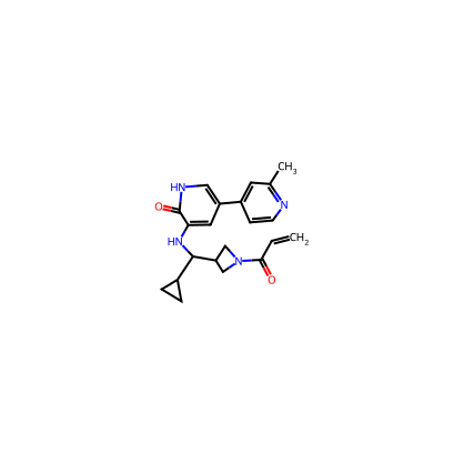 C=CC(=O)N1CC(C(Nc2cc(-c3ccnc(C)c3)c[nH]c2=O)C2CC2)C1